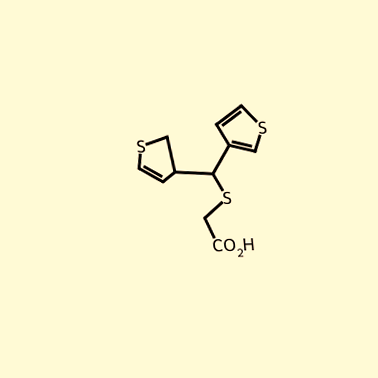 O=C(O)CSC(c1ccsc1)C1C=CSC1